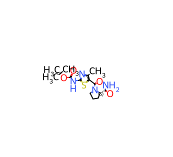 Cc1nc(NC(=O)OC(C)(C)C)sc1C(=O)N1CCC[C@H]1C(N)=O